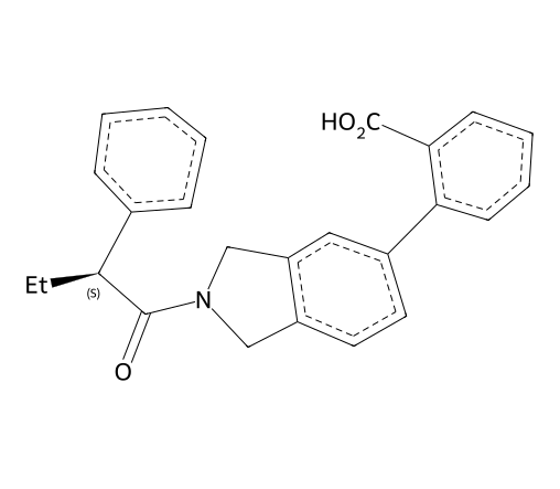 CC[C@H](C(=O)N1Cc2ccc(-c3ccccc3C(=O)O)cc2C1)c1ccccc1